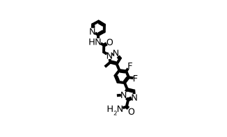 Cc1c(-c2ccc(-c3cnc(C(N)=O)n3C)c(F)c2F)cnn1CC(=O)Nc1ccccn1